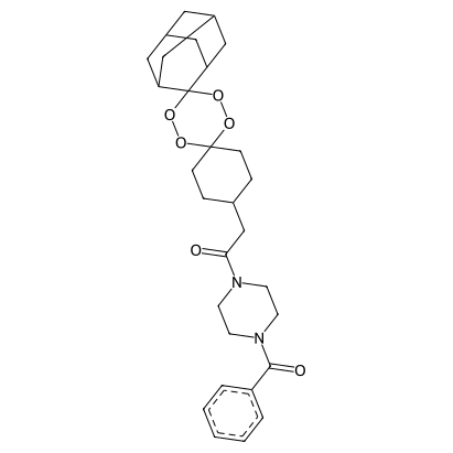 O=C(CC1CCC2(CC1)OOC1(OO2)C2CC3CC(C2)CC1C3)N1CCN(C(=O)c2ccccc2)CC1